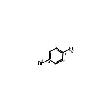 CCc1c[c]c(Br)cc1